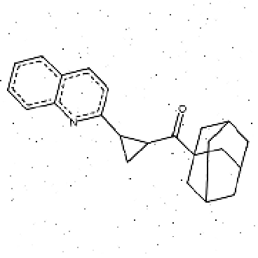 O=C(C1CC1c1ccc2ccccc2n1)C12CC3CC(CC(C3)C1)C2